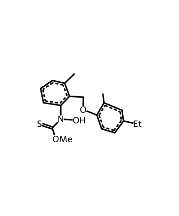 CCc1ccc(OCc2c(C)cccc2N(O)C(=S)OC)c(C)c1